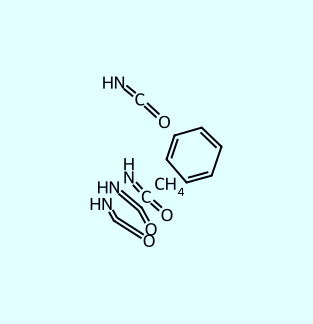 C.N=C=O.N=C=O.N=C=O.N=C=O.c1ccccc1